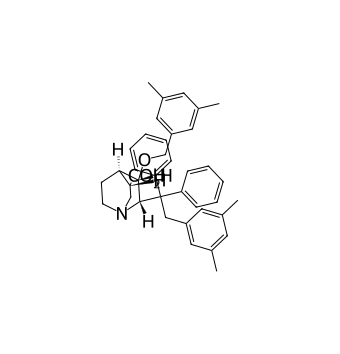 Cc1cc(C)cc(CO[C@H]2[C@@H]3CCN(C[C@H]3C(=O)O)[C@H]2C(Cc2cc(C)cc(C)c2)(c2ccccc2)c2ccccc2)c1